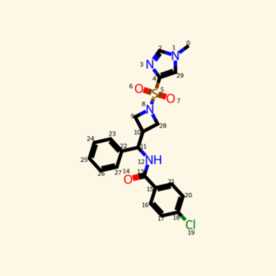 Cn1cnc(S(=O)(=O)N2CC(C(NC(=O)c3ccc(Cl)cc3)c3ccccc3)C2)c1